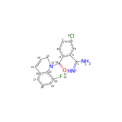 N=C(N)c1cc(Cl)ccc1C(=O)N1CC=Cc2cccc(F)c21